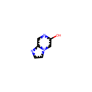 Oc1cn2ccnc2cn1